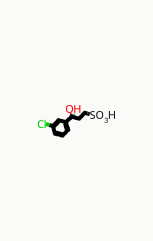 O=S(=O)(O)CC[C@@H](O)c1cccc(Cl)c1